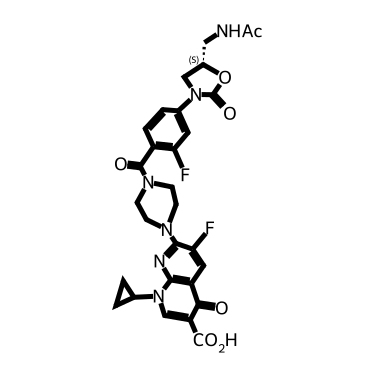 CC(=O)NC[C@H]1CN(c2ccc(C(=O)N3CCN(c4nc5c(cc4F)c(=O)c(C(=O)O)cn5C4CC4)CC3)c(F)c2)C(=O)O1